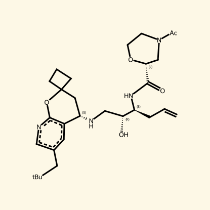 C=CC[C@H](NC(=O)[C@H]1CN(C(C)=O)CCO1)[C@H](O)CN[C@H]1CC2(CCC2)Oc2ncc(CC(C)(C)C)cc21